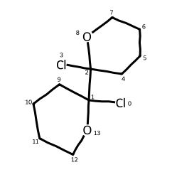 ClC1(C2(Cl)CCCCO2)CCCCO1